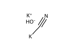 N#[C][K].[K+].[OH-]